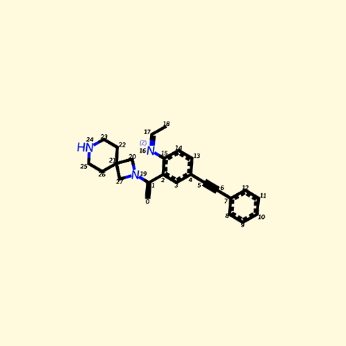 C=C(c1cc(C#Cc2ccccc2)ccc1/N=C\C)N1CC2(CCNCC2)C1